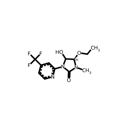 CCO[C@@H]1C(O)N(c2cc(C(F)(F)F)ccn2)C(=O)N1C